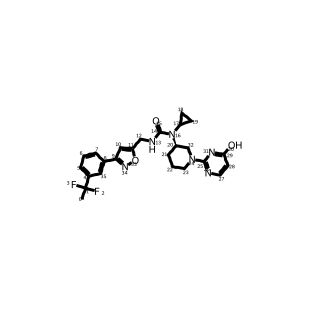 CC(F)(F)c1cccc(-c2cc(CNC(=O)N(C3CC3)[C@@H]3CCCN(c4nccc(O)n4)C3)on2)c1